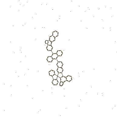 c1ccc2c(c1)-c1ccccc1C21c2cc3cc(-c4c5ccccc5c(-c5ccc6oc7cc8ccccc8cc7c6c5)c5ccccc45)ccc3cc2-c2c1c1ccccc1c1ccccc21